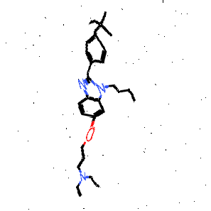 CCCCn1c(-c2ccc(C(C)(C)C)cc2)nc2ccc(OCCCN(CC)CC)cc21